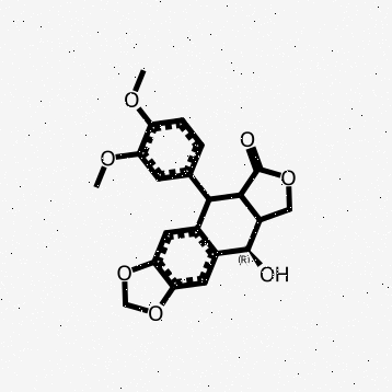 COc1ccc(C2c3cc4c(cc3[C@H](O)C3COC(=O)C23)OCO4)cc1OC